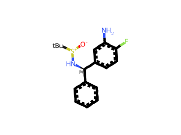 CC(C)(C)[S+]([O-])N[C@H](c1ccccc1)c1ccc(F)c(N)c1